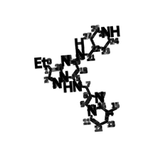 CCc1cnn2c(NCc3cn4cccc(C)c4n3)cc(NCC3CCNCC3)nc12